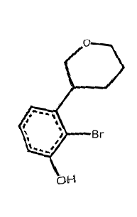 Oc1cccc(C2CCCOC2)c1Br